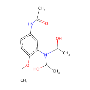 CCOc1ccc(NC(C)=O)cc1N(C(C)O)C(C)O